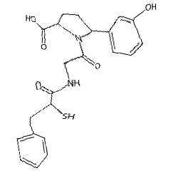 O=C(NCC(=O)N1C(C(=O)O)CCC1c1cccc(O)c1)C(S)Cc1ccccc1